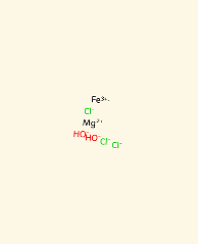 [Cl-].[Cl-].[Cl-].[Fe+3].[Mg+2].[OH-].[OH-]